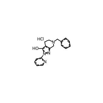 Cl.Oc1c2c(nn1-c1ccccn1)CN(Cc1ccccc1)CC2